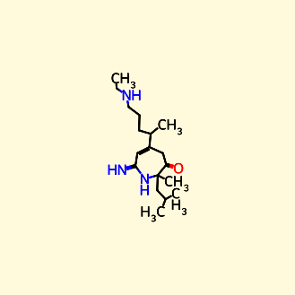 CCNCCCC(C)C1=CC(=N)NC(C)(CC(C)C)C(=O)C1